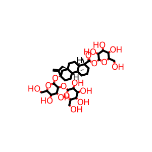 C=C1C[C@@]23CC[C@H]4[C@@](C)(CCC[C@@]4(C)C(=O)OC4OC(CO)C(O)C(O)C4O)[C@@H]2CC[C@]1(OC1OC(CO)C(O)C(O)C1OC1OC(CO)C(O)C(O)C1O)C3